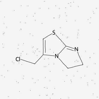 ClCC1=CSC2=NCCN12